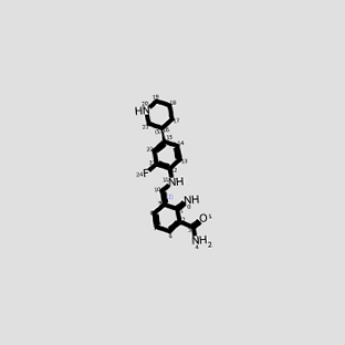 N=C1C(C(N)=O)=CC=C/C1=C/Nc1ccc([C@@H]2CCCNC2)cc1F